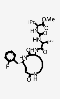 COC(=O)C(NC(=O)NC(C(=O)N[C@H]1CCCCNC(=O)/C=C/[C@H](Cc2ccccc2F)NC1=O)C(C)C)C(C)C